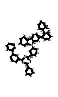 c1ccc(-c2cccc(-c3nc(-c4ccccc4)nc(-c4cccc(-n5c6ccccc6c6ccc(-c7cccc8oc9ccccc9c78)cc65)c4)n3)c2)cc1